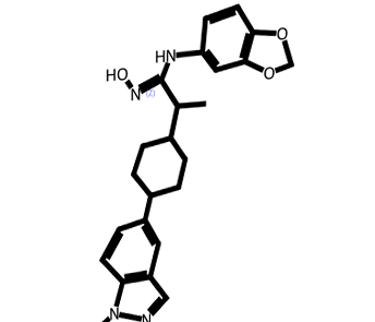 CC(/C(=N/O)Nc1ccc2c(c1)OCO2)C1CCC(c2ccc3c(cnn3C)c2)CC1